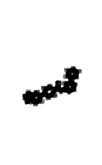 O=C(Cc1cccc(-c2ccccc2)c1)N1CCN(c2ccc3nncn3n2)CC1